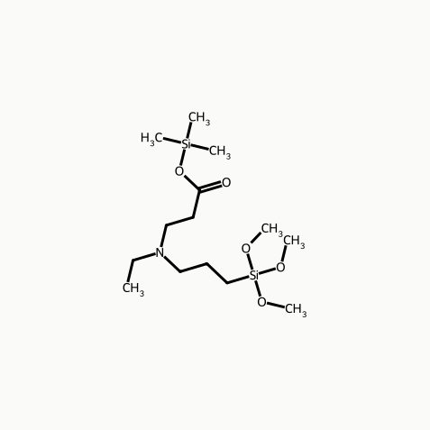 CCN(CCC[Si](OC)(OC)OC)CCC(=O)O[Si](C)(C)C